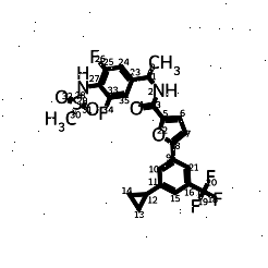 CC(NC(=O)c1ccc(-c2cc(C3CC3)cc(C(F)(F)F)c2)o1)c1cc(F)c(NS(C)(=O)=O)c(F)c1